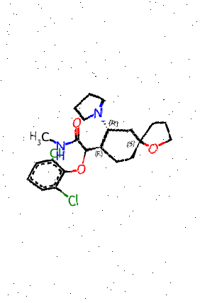 CNC(=O)C(Oc1c(Cl)cccc1Cl)[C@@H]1CC[C@]2(CCCO2)C[C@H]1N1CCCC1